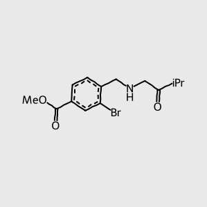 COC(=O)c1ccc(CNCC(=O)C(C)C)c(Br)c1